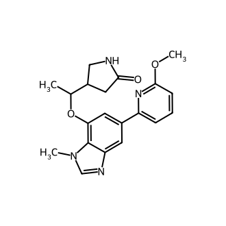 COc1cccc(-c2cc(OC(C)C3CNC(=O)C3)c3c(c2)ncn3C)n1